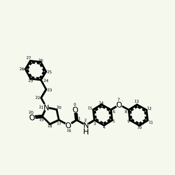 O=C(Nc1ccc(Oc2ccccc2)cc1)OC1CC(=O)N(CCc2ccccc2)C1